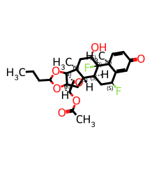 CCCC1O[C@@H]2C[C@H]3[C@@H]4C[C@H](F)C5=CC(=O)C=C[C@]5(C)[C@@]4(F)[C@@H](O)C[C@]3(C)[C@]2(C(=O)COC(C)=O)O1